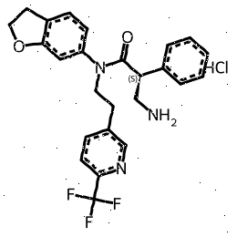 Cl.NC[C@@H](C(=O)N(CCc1ccc(C(F)(F)F)nc1)c1ccc2c(c1)OCC2)c1ccccc1